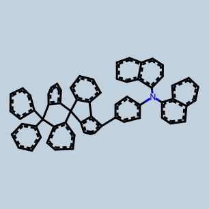 c1ccc(C2(c3ccccc3)c3ccccc3C3(c4ccccc4-c4c(-c5ccc(N(c6cccc7ccccc67)c6cccc7ccccc67)cc5)cccc43)c3ccccc32)cc1